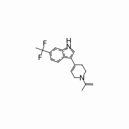 C=C(C)N1CC=C(c2c[nH]c3cc(C(C)(F)F)ccc23)CC1